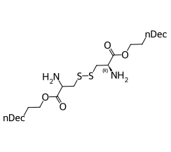 CCCCCCCCCCCCOC(=O)C(N)CSSC[C@H](N)C(=O)OCCCCCCCCCCCC